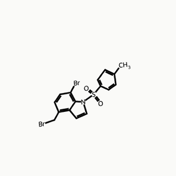 Cc1ccc(S(=O)(=O)n2ccc3c(CBr)ccc(Br)c32)cc1